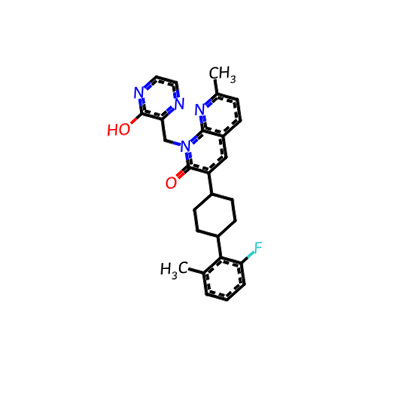 Cc1ccc2cc(C3CCC(c4c(C)cccc4F)CC3)c(=O)n(Cc3nccnc3O)c2n1